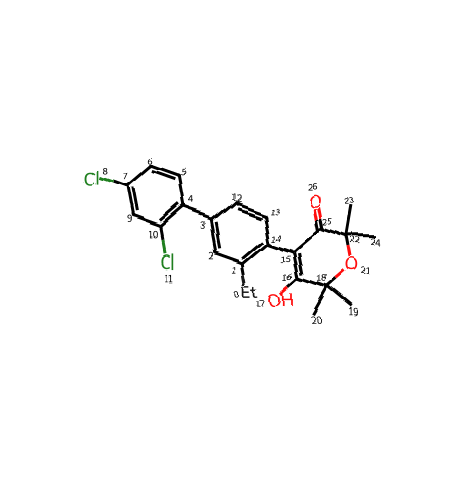 CCc1cc(-c2ccc(Cl)cc2Cl)ccc1C1=C(O)C(C)(C)OC(C)(C)C1=O